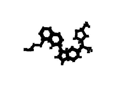 COCCc1cccc2ccc(-c3nnc4ccc([C@@H](N5CCC(N)C5)C(F)(F)F)cn34)nc12